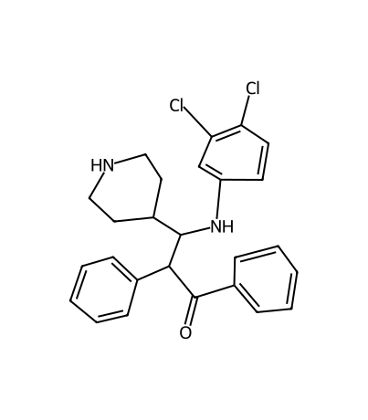 O=C(c1ccccc1)C(c1ccccc1)C(Nc1ccc(Cl)c(Cl)c1)C1CCNCC1